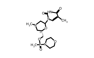 Cc1cn(C2CN(C)C[C@@H](COP(C)(=O)N3CCOCC3)O2)c(=O)[nH]c1=O